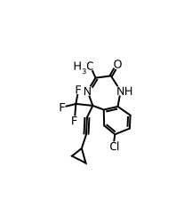 CC1=NC(C#CC2CC2)(C(F)(F)F)c2cc(Cl)ccc2NC1=O